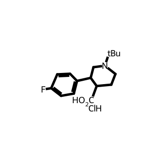 CC(C)(C)N1CCC(C(=O)O)C(c2ccc(F)cc2)C1.Cl